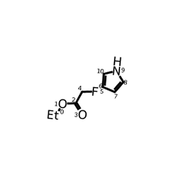 CCOC(=O)CF.c1cc[nH]c1